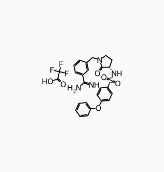 N=C(N)c1cccc(CN2CC[C@H](NS(=O)(=O)c3ccc(Oc4ccccc4)cc3)C2=O)c1.O=C(O)C(F)(F)F